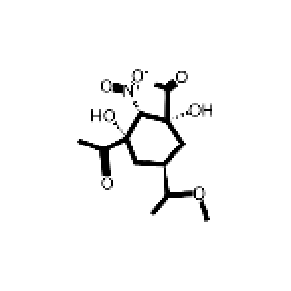 COC(C)[C@H]1C[C@@](O)(C(C)=O)[C@H]([N+](=O)[O-])[C@@](O)(C(C)=O)C1